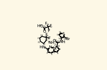 N[C@@H]1[C@H](Nc2ccc3ccc(C(=O)Nc4ccsc4Br)n3n2)CCCC1(F)F.O=C(O)C(F)(F)F